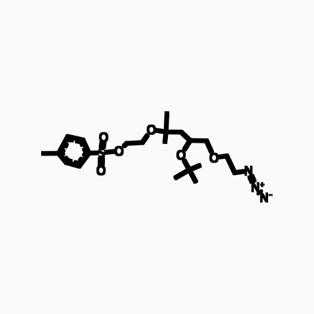 Cc1ccc(S(=O)(=O)OCCOC(C)(C)CC(COCCN=[N+]=[N-])OC(C)(C)C)cc1